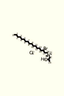 CCCCCCCCCCCCCCCC(Br)CC[N+](C)(C)CC(C)O.[Cl-]